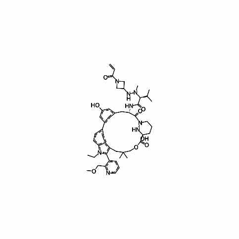 C=CC(=O)N1CC(NN(C)[C@H](C(=O)N[C@H]2Cc3cc(O)cc(c3)-c3ccc4c(c3)c(c(-c3cccnc3COC)n4CC)CC(C)(C)COC(=O)[C@@]3(O)CCCN(N3)C2=O)C(C)C)C1